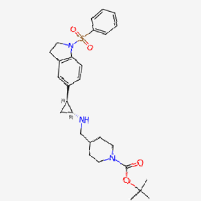 CC(C)(C)OC(=O)N1CCC(CN[C@@H]2C[C@H]2c2ccc3c(c2)CCN3S(=O)(=O)c2ccccc2)CC1